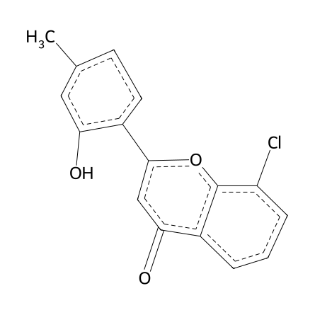 Cc1ccc(-c2cc(=O)c3cccc(Cl)c3o2)c(O)c1